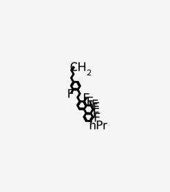 C=CCCc1ccc(CCc2ccc3c(c2F)C(F)(F)C(F)(F)c2c-3ccc(CCC)c2F)c(F)c1